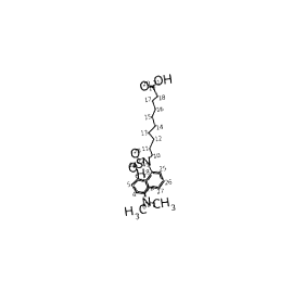 CN(C)c1cccc2c(N(CCCCCCCCCC(=O)O)[SH](=O)=O)cccc12